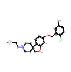 CCCc1ccc(Cl)c(COc2ccc3c(c2)OCC32CCN(CCC(=O)O)CC2)c1